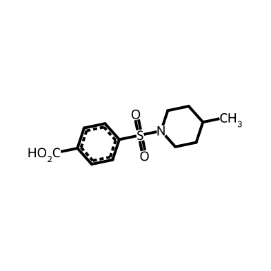 CC1CCN(S(=O)(=O)c2ccc(C(=O)O)cc2)CC1